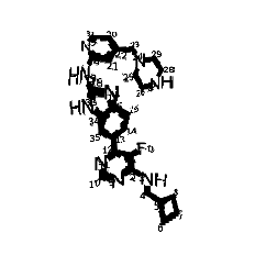 Fc1c(NCC2CCC2)ncnc1-c1ccc2nc(Nc3cc(CN4CCNCC4)ccn3)[nH]c2c1